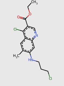 CCOC(=O)c1cnc2cc(NCCCCl)c(C)cc2c1Cl